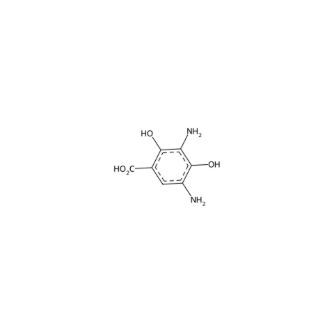 Nc1cc(C(=O)O)c(O)c(N)c1O